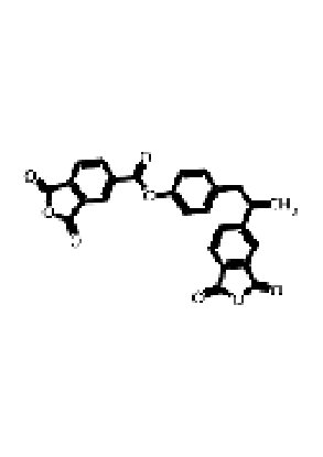 C=C(Cc1ccc(OC(=O)c2ccc3c(c2)C(=O)OC3=O)cc1)c1ccc2c(c1)C(=O)OC2=O